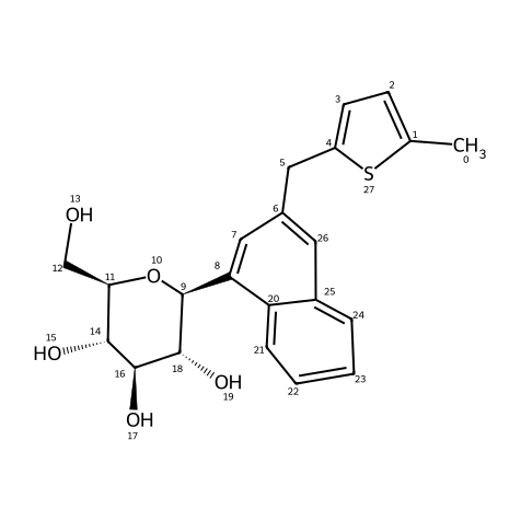 Cc1ccc(Cc2cc([C@@H]3O[C@H](CO)[C@@H](O)[C@H](O)[C@H]3O)c3ccccc3c2)s1